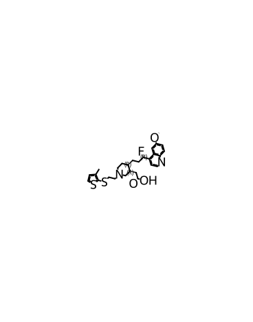 COc1ccc2nccc([C@H](F)CC[C@@H]3CCN(CCSc4sccc4C)C[C@@H]3CC(=O)O)c2c1